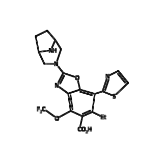 CCc1c(C(=O)O)c(OC(F)(F)F)c2nc(N3CC4CCC(C3)N4)oc2c1-c1nccs1